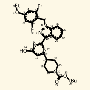 CCOc1cc(F)c(Cn2nc(-c3nc(O)cc(C4CCN(C(=O)OC(C)(C)C)CC4)n3)c3ccccc32)c(F)c1